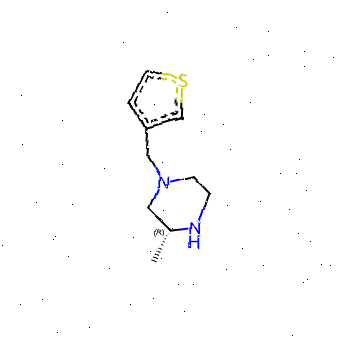 C[C@@H]1CN(Cc2ccsc2)CCN1